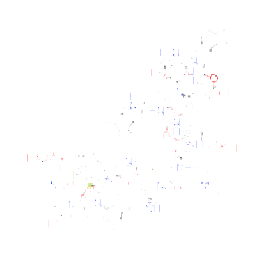 CCCC[C@@H](C(=O)N1C[C@H](O)C[C@@H]1C(=O)N[C@H](C=O)CC(=O)O)N(C)C(=O)C(Cc1ccccc1)N(C)C(=O)[C@H](Cc1cc(F)c(F)c(F)c1)NC(=O)CSC[C@H](NC(=O)[C@H](CCCN)NC(=O)[C@H](CC1=CC=C(O)CC1C)NC(=O)[C@H](Cc1c[nH]c2ccccc12)NC(=O)[C@H]1C[C@@H](O)CN1C(=O)[C@H](CC(=O)O)NC(=O)C(Cc1ccccc1)N(C)C(=O)[C@@H](N)C(C)C)C(=O)NCC(N)=O